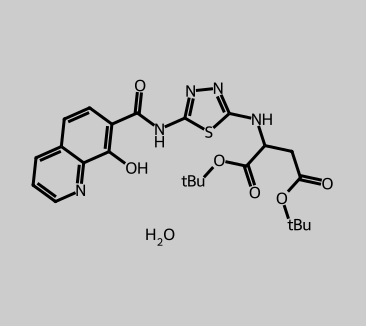 CC(C)(C)OC(=O)CC(Nc1nnc(NC(=O)c2ccc3cccnc3c2O)s1)C(=O)OC(C)(C)C.O